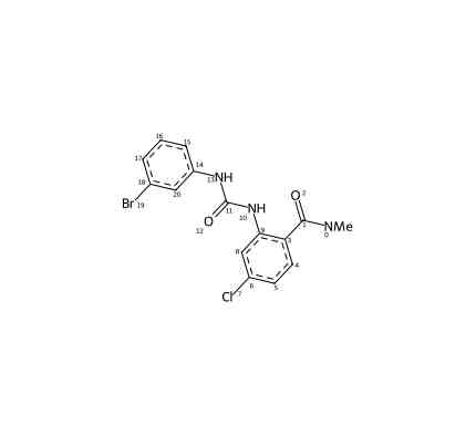 CNC(=O)c1ccc(Cl)cc1NC(=O)Nc1cccc(Br)c1